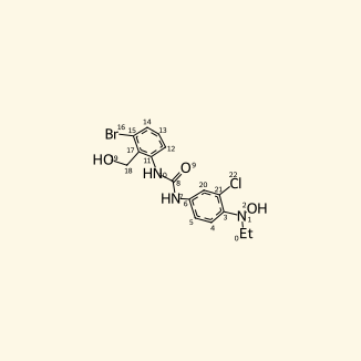 CCN(O)c1ccc(NC(=O)Nc2cccc(Br)c2CO)cc1Cl